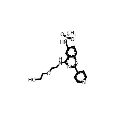 CS(=O)(=O)Nc1ccc2nc(-c3ccncc3)nc(NCCOCCO)c2c1